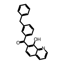 O=C(c1cccc(Cc2ccccc2)c1)c1ccc2cccnc2c1O